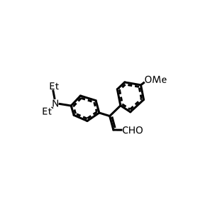 CCN(CC)c1ccc(C(=CC=O)c2ccc(OC)cc2)cc1